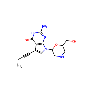 CCC#Cc1cn(C2CNCC(CO)O2)c2nc(N)[nH]c(=O)c12